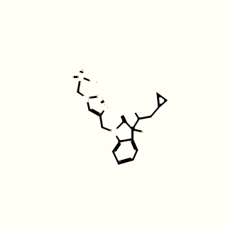 O=C1N(Cc2cn(CP(=O)(O)O)nn2)c2ccccc2C1(O)C(O)CC1CC1